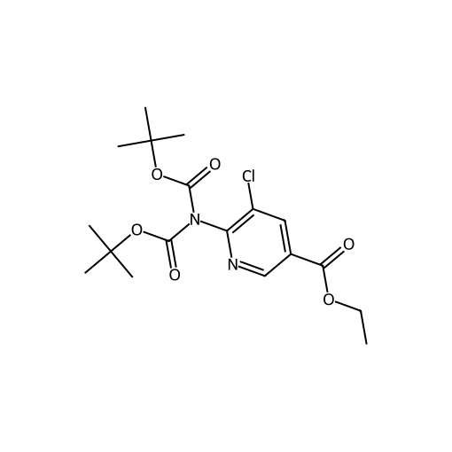 CCOC(=O)c1cnc(N(C(=O)OC(C)(C)C)C(=O)OC(C)(C)C)c(Cl)c1